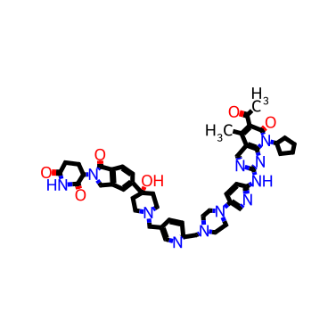 CC(=O)c1c(C)c2cnc(Nc3ccc(N4CCN(Cc5ccc(CN6CCC(O)(c7ccc8c(c7)CN(C7CCC(=O)NC7=O)C8=O)CC6)cn5)CC4)cn3)nc2n(C2CCCC2)c1=O